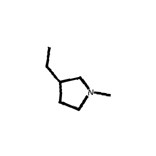 CCC1CCN(C)C1